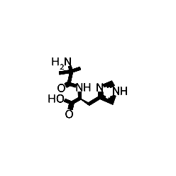 CC(C)(N)C(=O)N[C@@H](Cc1c[nH]cn1)C(=O)O